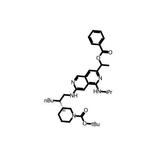 CCCCC(CNc1cc2c(NC(C)C)nc(C(C)OC(=O)c3ccccc3)cc2cn1)[C@H]1CCCN(C(=O)OC(C)(C)C)C1